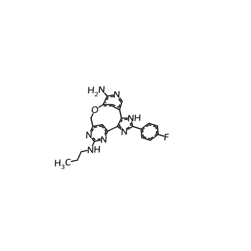 CCCNc1nc2cc(n1)-c1nc(-c3ccc(F)cc3)[nH]c1-c1cnc(N)c(c1)OC2